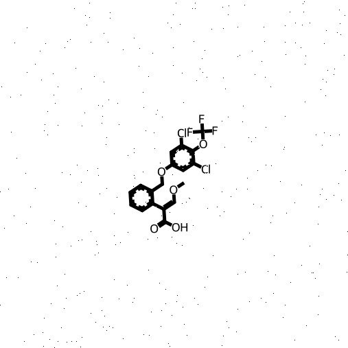 CO/C=C(/C(=O)O)c1ccccc1COc1cc(Cl)c(OC(F)(F)F)c(Cl)c1